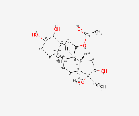 C#CC1(O)C(O)C[C@H]2[C@@H]3C(OC(C)=O)C=C4C(O)C(O)CC[C@]4(C)[C@@H]3CC[C@@]21C